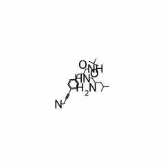 CC(C)CC(N)C(=O)NC(Cc1ccc(C#CCN(C)C)cc1)C(=O)NC(C)(C)C